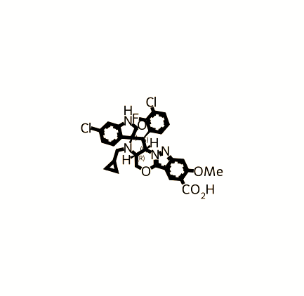 COc1cc2nn3c(c2cc1C(=O)O)OC[C@H]1[C@@H]3[C@H](c2cccc(Cl)c2F)[C@]2(C(=O)Nc3cc(Cl)ccc32)N1CC1CC1